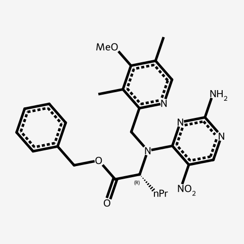 CCC[C@H](C(=O)OCc1ccccc1)N(Cc1ncc(C)c(OC)c1C)c1nc(N)ncc1[N+](=O)[O-]